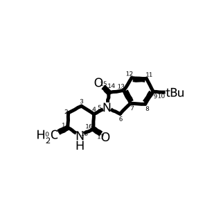 C=C1CCC(N2Cc3cc(C(C)(C)C)ccc3C2=O)C(=O)N1